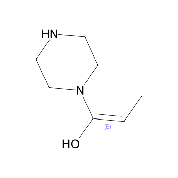 C/C=C(/O)N1CCNCC1